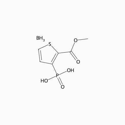 B.COC(=O)c1sccc1P(=O)(O)O